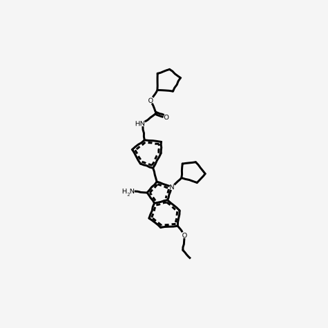 CCOc1ccc2c(N)c(-c3ccc(NC(=O)OC4CCCC4)cc3)n(C3CCCC3)c2c1